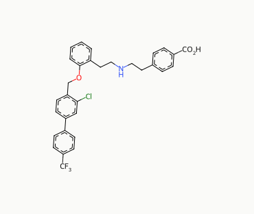 O=C(O)c1ccc(CCNCCc2ccccc2OCc2ccc(-c3ccc(C(F)(F)F)cc3)cc2Cl)cc1